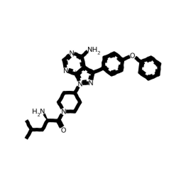 CC(C)C[C@@H](N)C(=O)N1CCC(n2nc(-c3ccc(Oc4ccccc4)cc3)c3c(N)ncnc32)CC1